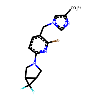 CCOC(=O)c1cn(Cc2ccc(N3CC4C(C3)C4(F)F)nc2Br)cn1